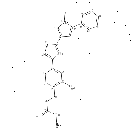 Cn1nc(-c2nc(-c3ccc(CCC(=O)OC(C)(C)C)c(C(F)(F)F)c3)no2)cc1-c1ccccc1